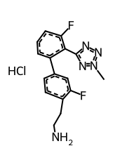 Cl.Cn1nnc(-c2c(F)cccc2-c2ccc(CCN)c(F)c2)n1